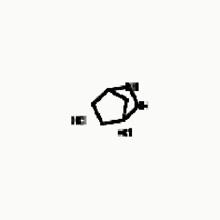 C1CC2CC1NN2.Cl.Cl